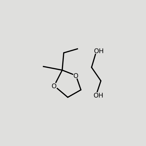 CCC1(C)OCCO1.OCCO